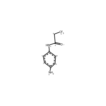 Nc1ccc(NC(=O)CC(F)(F)F)cc1